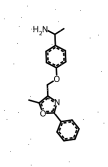 Cc1oc(-c2ccccc2)nc1COc1ccc(C(C)N)cc1